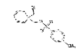 Cc1ccc(S(=O)(=O)O[CH]C2(CO)C=CC=CC2)cc1